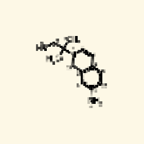 CC(C)(SS)N1C=Cc2ccc(N)cc2C1